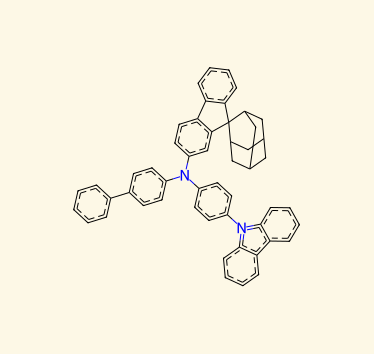 c1ccc(-c2ccc(N(c3ccc(-n4c5ccccc5c5ccccc54)cc3)c3ccc4c(c3)C3(c5ccccc5-4)C4CC5CC(C4)CC3C5)cc2)cc1